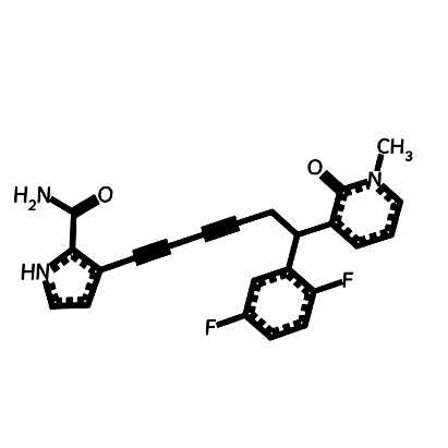 Cn1cccc(C(CC#CC#Cc2cc[nH]c2C(N)=O)c2cc(F)ccc2F)c1=O